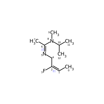 C/C=C(/F)C/N=C(/C)N(C)C(C)C